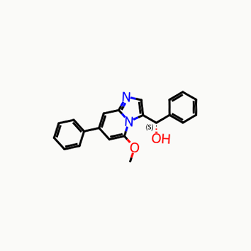 COc1cc(-c2ccccc2)cc2ncc([C@@H](O)c3ccccc3)n12